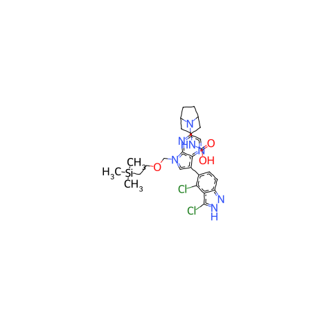 C[Si](C)(C)CCOCn1cc(-c2ccc3n[nH]c(Cl)c3c2Cl)c2ncc(N3C4CCC3CC(NC(=O)O)C4)nc21